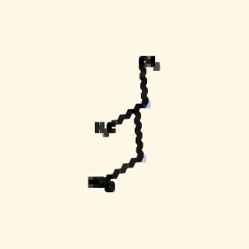 CCCCCCCC/C=C\CC(CCCCCC)CCCCCCCC/C=C\CCCCCCCC(=O)O